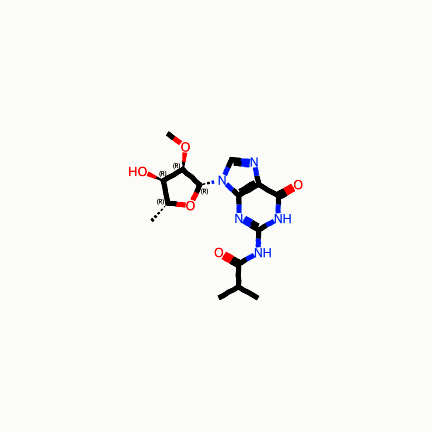 CO[C@@H]1[C@H](O)[C@@H](C)O[C@H]1n1cnc2c(=O)[nH]c(NC(=O)C(C)C)nc21